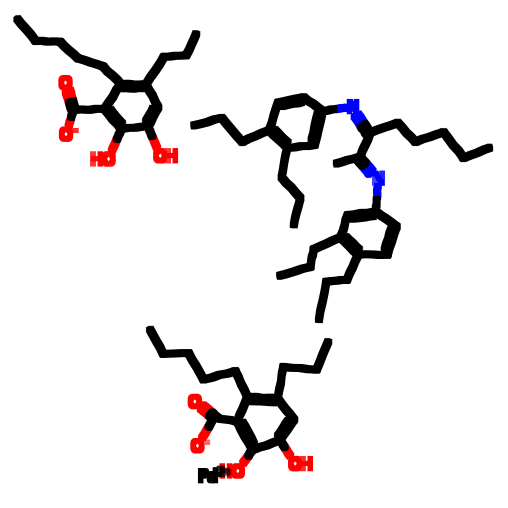 CCCCCC(=Nc1ccc(CCC)c(CCC)c1)C(C)=Nc1ccc(CCC)c(CCC)c1.CCCCCc1c(CCC)cc(O)c(O)c1C(=O)[O-].CCCCCc1c(CCC)cc(O)c(O)c1C(=O)[O-].[Pd+2]